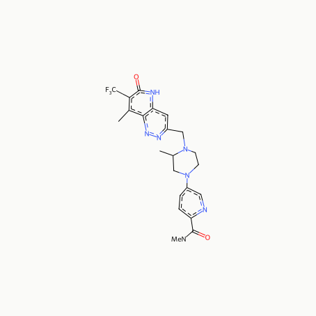 CNC(=O)c1ccc(N2CCN(Cc3cc4[nH]c(=O)c(C(F)(F)F)c(C)c4nn3)C(C)C2)cn1